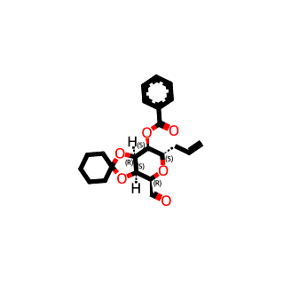 C=CC[C@@H]1O[C@@H](C=O)[C@H]2OC3(CCCCC3)O[C@H]2[C@H]1OC(=O)c1ccccc1